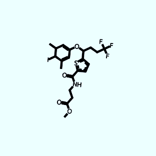 COC(=O)CCNC(=O)c1ccc(C(CCC(F)(F)F)OC2=CC(C)C(I)C(C)=C2)s1